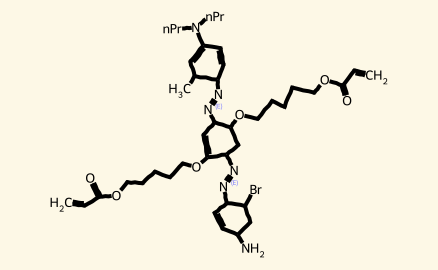 C=CC(=O)OCCCCCOC1=CC(/N=N/C2C=CC(N(CCC)CCC)=CC2C)C(OCCCCCOC(=O)C=C)CC1/N=N/C1C=CC(N)CC1Br